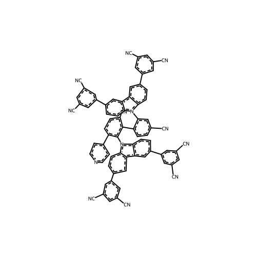 N#Cc1cc(C#N)cc(-c2ccc3c(c2)c2cc(-c4cc(C#N)cc(C#N)c4)ccc2n3-c2cc(C#N)ccc2-c2c(C#N)ccc(-c3ccncc3)c2-n2c3ccc(-c4cc(C#N)cc(C#N)c4)cc3c3cc(-c4cc(C#N)cc(C#N)c4)ccc32)c1